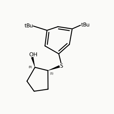 CC(C)(C)c1cc(S[C@H]2CCC[C@H]2O)cc(C(C)(C)C)c1